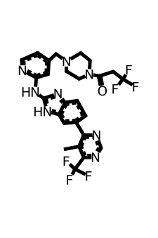 Cc1c(-c2ccc3nc(Nc4cc(CN5CCN(C(=O)CC(F)(F)F)CC5)ccn4)[nH]c3c2)ncnc1C(F)(F)F